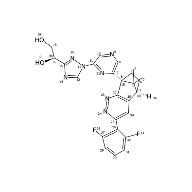 CC1(C)[C@H]2CC[C@]1(c1cncc(-n3cnc([C@@H](O)CO)n3)n1)c1nnc(-c3c(F)cccc3F)cc12